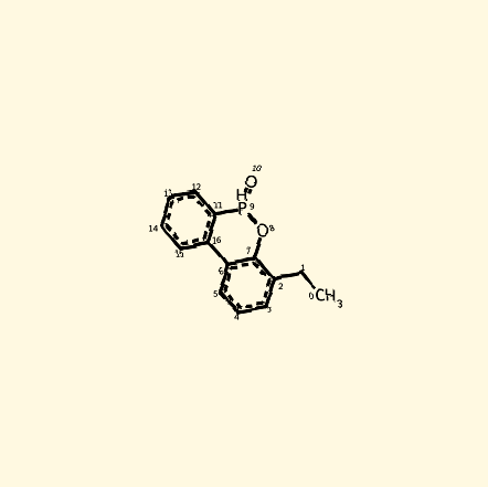 CCc1cccc2c1O[PH](=O)c1ccccc1-2